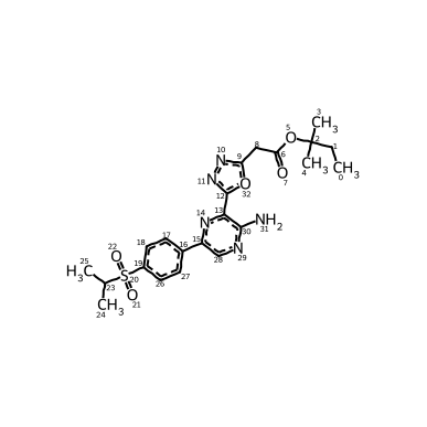 CCC(C)(C)OC(=O)Cc1nnc(-c2nc(-c3ccc(S(=O)(=O)C(C)C)cc3)cnc2N)o1